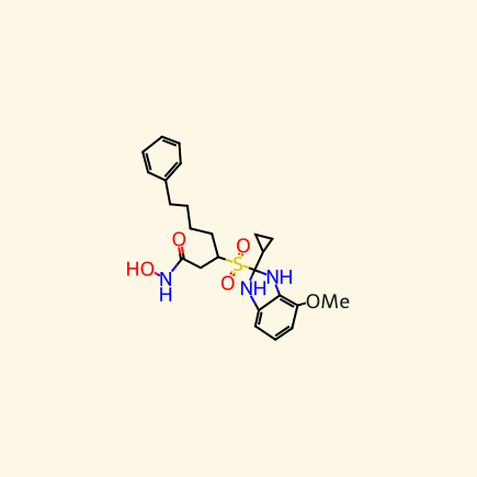 COc1cccc2c1NC(C1CC1)(S(=O)(=O)C(CCCCc1ccccc1)CC(=O)NO)N2